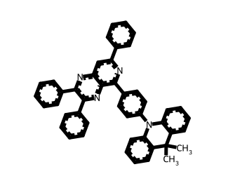 CC1(C)c2ccccc2N(c2ccc(-c3nc(-c4ccccc4)cc4nc(-c5ccccc5)c(-c5ccccc5)nc34)cc2)c2ccccc21